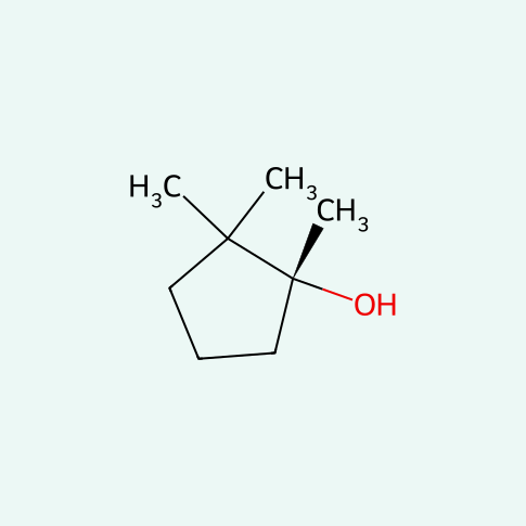 CC1(C)CCC[C@@]1(C)O